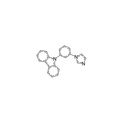 c1cc(-n2ccnc2)cc(-n2c3ccccc3c3ccccc32)c1